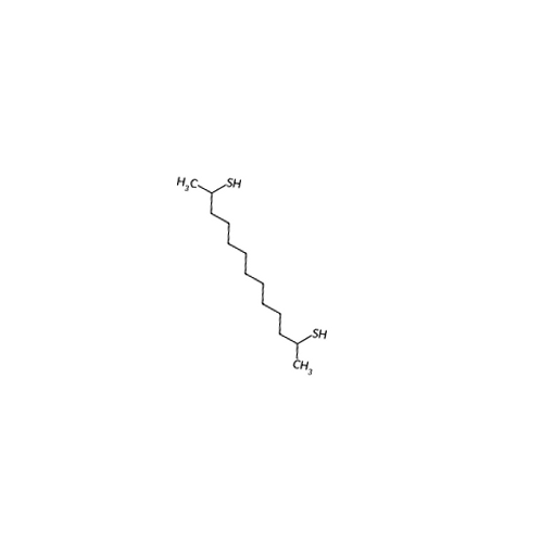 CC(S)CCCCCCCCCC(C)S